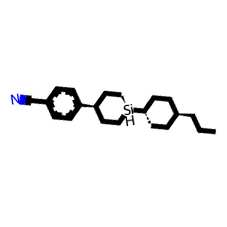 CCC[C@H]1CC[C@H]([Si@H]2CC[C@H](c3ccc(C#N)cc3)CC2)CC1